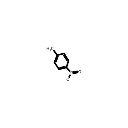 Cc1ccc(S([O])=O)cc1